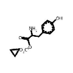 C1CC1.NC(Cc1ccc(O)cc1)C(=O)OC(=O)O